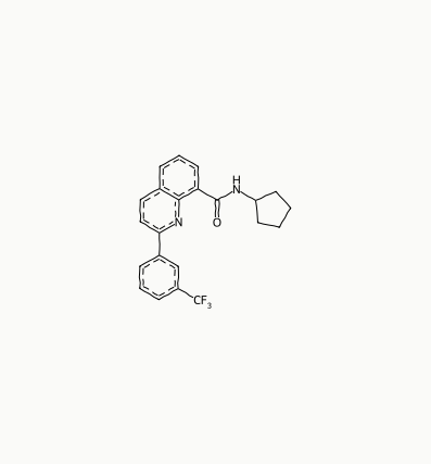 O=C(NC1CCCC1)c1cccc2ccc(-c3cccc(C(F)(F)F)c3)nc12